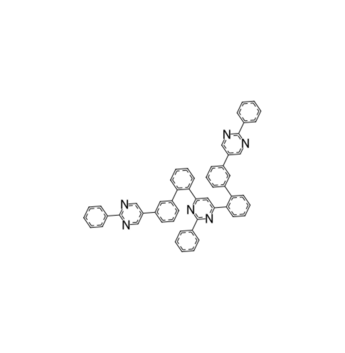 c1ccc(-c2ncc(-c3cccc(-c4ccccc4-c4cc(-c5ccccc5-c5cccc(-c6cnc(-c7ccccc7)nc6)c5)nc(-c5ccccc5)n4)c3)cn2)cc1